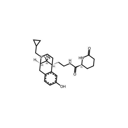 C[C@H]1[C@H]2Cc3ccc(O)cc3[C@]1(CCNC(=O)[C@@H]1CCCC(=O)N1)CCN2CC1CC1